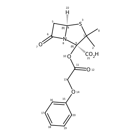 CC1(C)S[C@@H]2CC(=O)N2[C@@]1(OC(=O)COc1ccccc1)C(=O)O